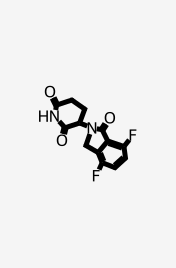 O=C1CCC(N2Cc3c(F)ccc(F)c3C2=O)C(=O)N1